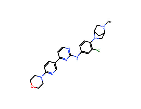 CC(=O)N1CC2CC1CN2c1ccc(Nc2nccc(-c3ccc(N4CCOCC4)nc3)n2)cc1Cl